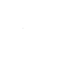 O=CC=Cc1cc(F)ccc1F